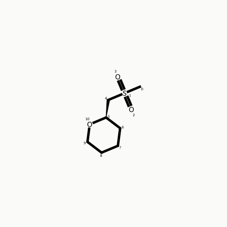 CS(=O)(=O)C[C@H]1CCCCO1